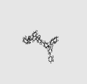 c1ccc(-c2ccc(N(c3ccc(-c4ccc5c(c4)oc4c6ccccc6c(-c6nc7ccccc7s6)cc54)cc3)c3ccc4ccccc4c3)cc2)cc1